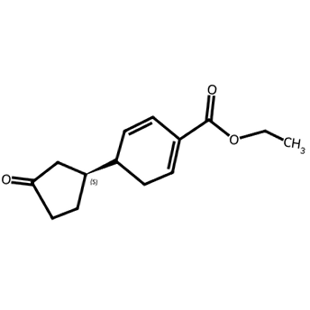 CCOC(=O)C1=CCC([C@H]2CCC(=O)C2)C=C1